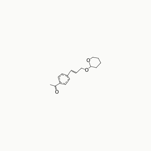 CC(=O)c1ccc(C=CCOC2CCCCO2)cc1